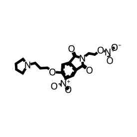 O=C1c2cc(OCCCN3CCCC3)c([N+](=O)[O-])cc2C(=O)N1CCO[N+](=O)[O-]